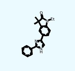 CCN1C(=O)C(C)(C)c2cc(-c3c[nH]c(-c4ccccc4)n3)ccc21